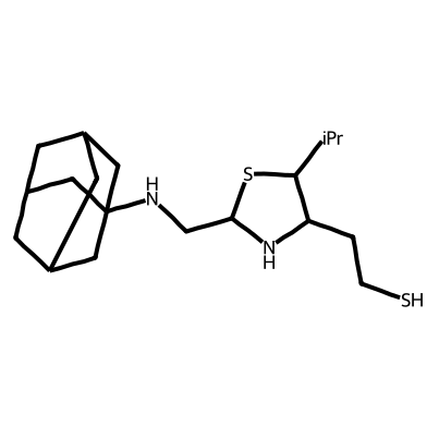 CC(C)C1SC(CNC23CC4CC(CC(C4)C2)C3)NC1CCS